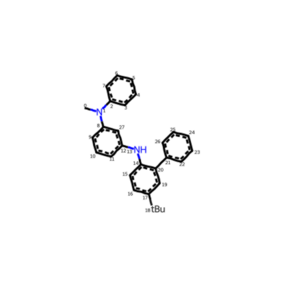 CN(c1ccccc1)c1cccc(Nc2ccc(C(C)(C)C)cc2-c2ccccc2)c1